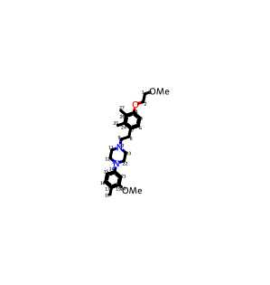 COCCOc1ccc(CCN2CCN(c3ccc(C)c(OC)c3)CC2)c(C)c1C